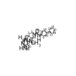 CC1CCN(C(=O)Nc2ccc(-c3ccccc3)cc2)CC1N(C)c1ncnc2[nH]ccc12